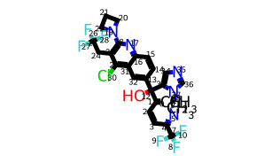 C=C(/C=C\C(=N/C)C(F)(F)F)C(O)(c1ccc2nc(N3CCC3)c(CC(F)(F)F)c(Cl)c2c1)c1cncn1C